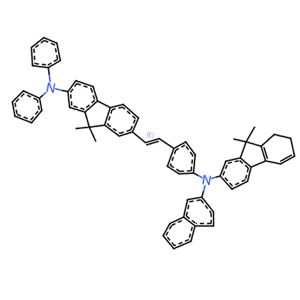 CC1(C)C2=C(C=CCC2)c2ccc(N(c3ccc(/C=C/c4ccc5c(c4)C(C)(C)c4cc(N(c6ccccc6)c6ccccc6)ccc4-5)cc3)c3ccc4ccccc4c3)cc21